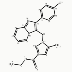 CCOC(=O)c1cc(C)n(Cc2c(-c3ccc(Cl)cc3)nc3ccccn23)n1